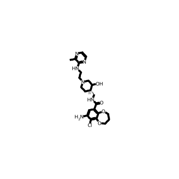 Cc1nccnc1NCCN1CC[C@@H](CNC(=O)c2cc(N)c(Cl)c3c2OCCCO3)C(O)C1